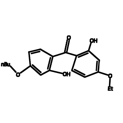 CCCCOc1ccc(C(=O)c2ccc(OCC)cc2O)c(O)c1